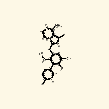 Cc1ccc(-c2c(F)c(Cl)cc(Cc3nc(C)c4c(N)nccn34)c2OC(C)C)cn1